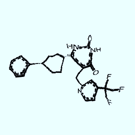 O=c1[nH]c(=O)c(Cc2cc(C(F)(F)F)ccn2)c([C@H]2CC[C@H](c3ccccc3)CC2)[nH]1